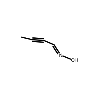 CC#CC=NO